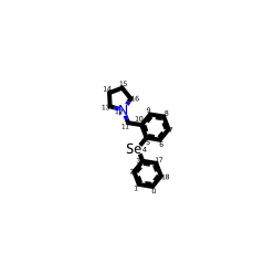 c1ccc([Se]c2ccccc2CN2CCCC2)cc1